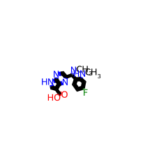 C/N=C(/c1cnc2[nH]cc(C(=O)O)c2n1)c1ccc(F)cc1NC